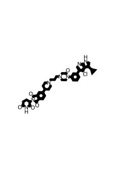 O=C1CCC(N2C(=O)c3ccc(C4CCN(CCCN5CCN(c6cccc(-c7cnc8[nH]cc(C9CC9)c8c7Cl)c6)C(=O)C5)CC4)cc3C2=O)C(=O)N1